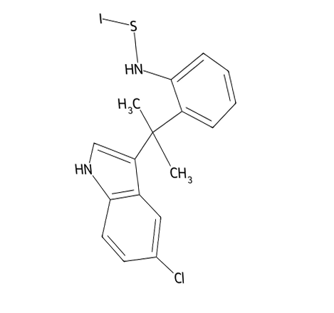 CC(C)(c1ccccc1NSI)c1c[nH]c2ccc(Cl)cc12